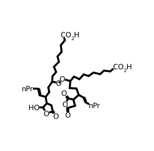 CCC/C=C/C(CCC(CCCCCCCCC(=O)O)OOC(CCCCCCCCC(=O)O)CCC(/C=C/CCC)C1CC(=O)OC1O)C1CC(=O)OC1=O